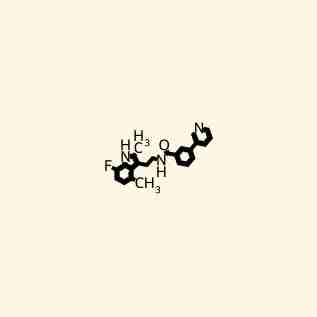 Cc1[nH]c2c(F)ccc(C)c2c1CCNC(=O)c1cccc(-c2cccnc2)c1